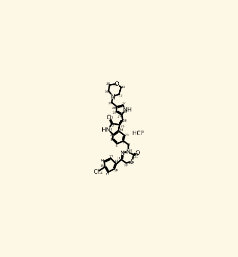 Cl.O=C1Nc2ccc(CN3N=C(c4ccc(Cl)cc4)CSC3=O)cc2C1=Cc1cc(CN2CCOCC2)c[nH]1